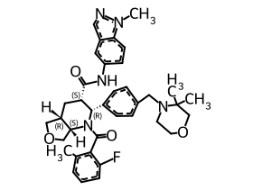 Cc1cccc(F)c1C(=O)N1[C@@H]2COC[C@@H]2C[C@H](C(=O)Nc2ccc3c(cnn3C)c2)[C@@H]1c1ccc(CN2CCOCC2(C)C)cc1